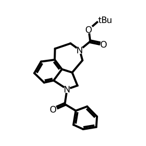 CC(C)(C)OC(=O)N1CCc2cccc3c2C(C1)CN3C(=O)c1ccccc1